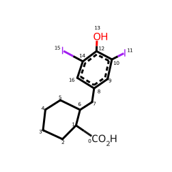 O=C(O)C1CCCCC1Cc1cc(I)c(O)c(I)c1